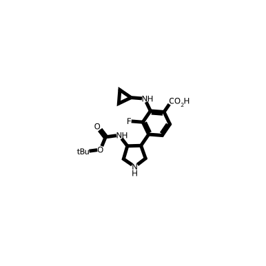 CC(C)(C)OC(=O)NC1CNCC1c1ccc(C(=O)O)c(NC2CC2)c1F